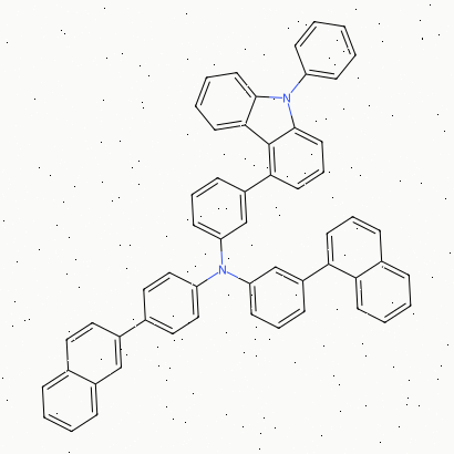 c1ccc(-n2c3ccccc3c3c(-c4cccc(N(c5ccc(-c6ccc7ccccc7c6)cc5)c5cccc(-c6cccc7ccccc67)c5)c4)cccc32)cc1